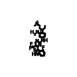 CCN(CCN(C)C)c1ccc(Nc2ncc(C(F)(F)F)c(-c3c[nH]c4cccc(F)c34)n2)cc1N